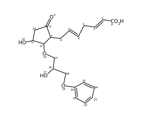 O=C(O)C=CCC=CCC1C(=O)CC(O)C1OCC(O)COc1ccccc1